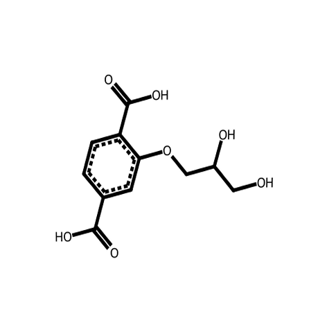 O=C(O)c1ccc(C(=O)O)c(OCC(O)CO)c1